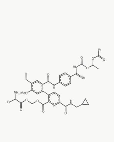 C=Cc1cc(C(=O)Nc2ccc(C(=N)NC(=O)OC(C)OC(=O)C(C)C)cc2)c(-c2ccc(C(=O)NCC3CC3)nc2C(=O)OCOC(=O)C(N)C(C)C)cc1OC